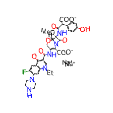 CCn1cc(C(=O)NC2=C(C(=O)[O-])N3C(=O)C(NC(=O)C(C(=O)[O-])c4ccc(O)cc4)(OC)[C@H]3OC2)c(=O)c2cc(F)c(N3CCNCC3)cc21.[Na+].[Na+]